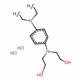 CCN(CC)c1ccc(N(CCO)CCO)cc1.Cl.Cl